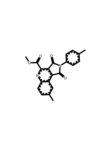 COC(=O)c1nc2ccc(C)cc2c2c1C(=O)N(c1ccc(C)cc1)C2=O